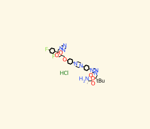 C[C@H](N)C(=O)OC(Cn1ncn(-c2ccc(N3CCN(c4ccc(OCC5COC(Cn6cncn6)(c6ccc(F)cc6F)O5)cc4)CC3)cc2)c1=O)C(C)(C)C.Cl